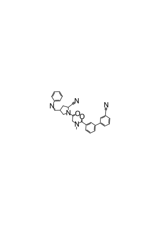 CN(CC(=O)N1CC(/C=N\c2ccccc2)CC1C#N)C(=O)c1cccc(-c2cccc(C#N)c2)c1